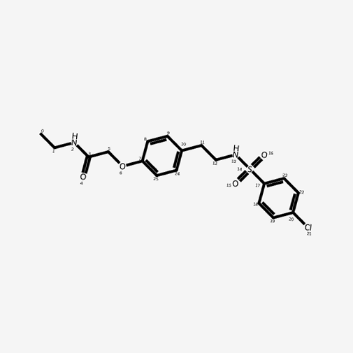 CCNC(=O)COc1ccc(CCNS(=O)(=O)c2ccc(Cl)cc2)cc1